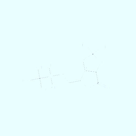 CC1(C)O[C@@H]2C(CO[Si](C)(C)C(C)(C)C)OC(=O)[C@]2(C)O1